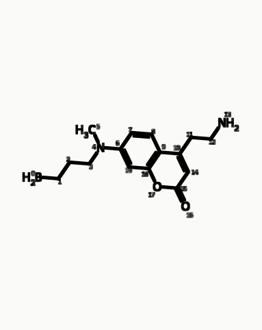 BCCCN(C)c1ccc2c(CCN)cc(=O)oc2c1